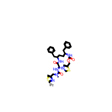 CC(C)c1nc(CN(C)C(=O)NCC(=O)NC(CCC(Cc2ccccc2)NC(=O)OCC2=CNCS2)Cc2ccccc2)cs1